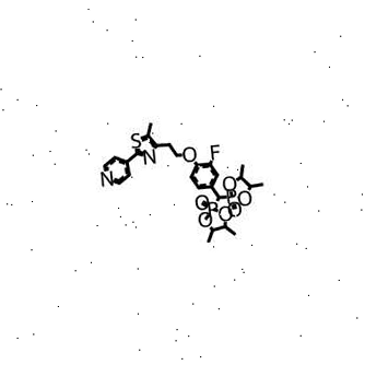 Cc1sc(-c2ccncc2)nc1CCOc1ccc(C(P2(=O)OC(C)C(C)O2)P2(=O)OC(C)C(C)O2)cc1F